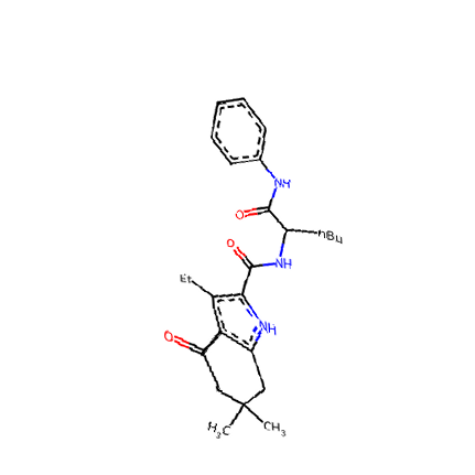 CCCCC(NC(=O)c1[nH]c2c(c1CC)C(=O)CC(C)(C)C2)C(=O)Nc1ccccc1